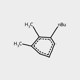 CCCCc1[c]ccc(C)c1C